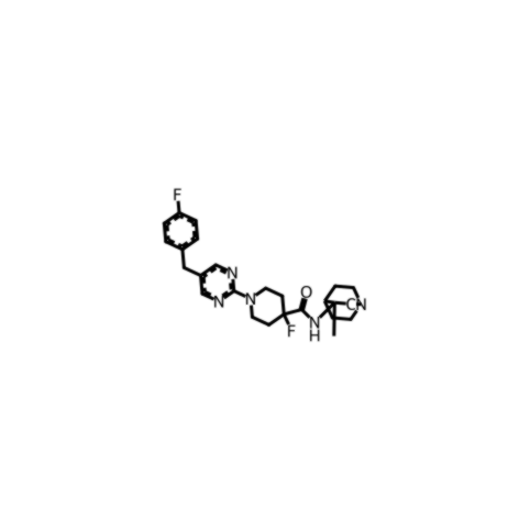 CC1(NC(=O)C2(F)CCN(c3ncc(Cc4ccc(F)cc4)cn3)CC2)CN2CCC1CC2